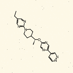 CCc1cnc(N2CCC([C@H](C)Oc3cnc(-c4ccnnc4)cn3)CC2)nc1